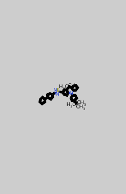 CC(C)(C)c1ccc(N2c3ccccc3C(C)(C)c3cc(-c4nc(-c5ccc(-c6ccccc6)cc5)ns4)ccc32)cc1